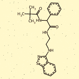 CC(C)(C)C(=O)NC(C(=O)NCCNc1nsc2ccccc12)c1ccccc1